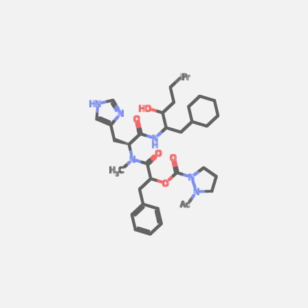 CC(=O)N1CCCN1C(=O)OC(Cc1ccccc1)C(=O)N(C)[C@@H](Cc1c[nH]cn1)C(=O)NC(CC1CCCCC1)C(O)CCC(C)C